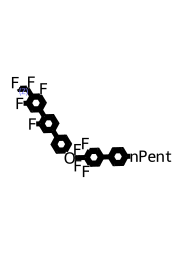 CCCCCc1ccc(-c2cc(F)c(C(F)(F)Oc3ccc(-c4ccc(-c5cc(F)c(/C(F)=C/F)c(F)c5)c(F)c4)cc3)c(F)c2)cc1